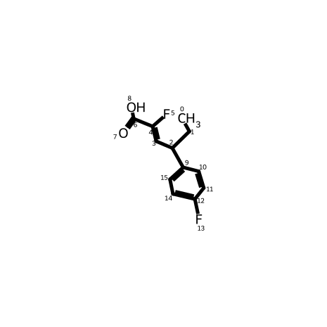 CCC(C=C(F)C(=O)O)c1ccc(F)cc1